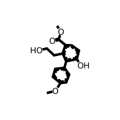 COC(=O)c1ccc(O)c(-c2ccc(OC)cc2)c1CCO